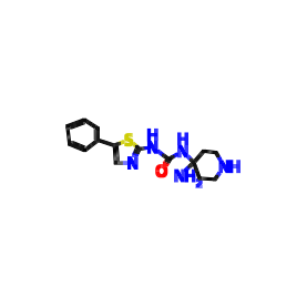 NC1(NC(=O)Nc2ncc(-c3ccccc3)s2)CCNCC1